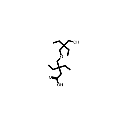 CCC(CC)(CO)COCC(CC)(CC)CC(=O)O